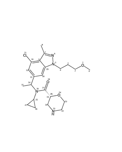 COCCCn1nc(C)c2c(Cl)cc(C(C)N(C(=O)[C@H]3CNCCO3)C3CC3)cc21